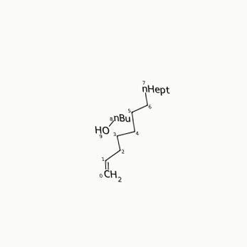 C=CCCCCCCCCCCCC.CCCCO